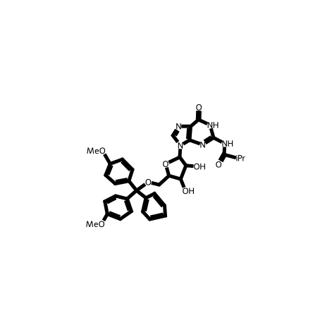 COc1ccc(C(OCC2OC(n3cnc4c(=O)[nH]c(NC(=O)C(C)C)nc43)C(O)C2O)(c2ccccc2)c2ccc(OC)cc2)cc1